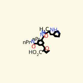 CCCN(CCC)C(=O)c1cc(-c2nnc([C@@](C)(N)Cc3ccccc3)o2)cc(-c2occc2C(=O)O)c1